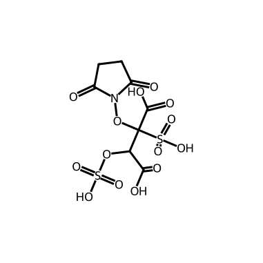 O=C(O)C(OS(=O)(=O)O)C(ON1C(=O)CCC1=O)(C(=O)O)S(=O)(=O)O